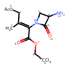 CC(=O)OCC(C)=C(C(=O)OCC(Cl)(Cl)Cl)N1CC(N)C1=O